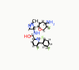 Cn1ncc(NC(O)c2ccc(F)c(-c3cc(F)ccc3F)n2)c1[C@@H]1CC[C@@H](N)[C@H](F)CO1